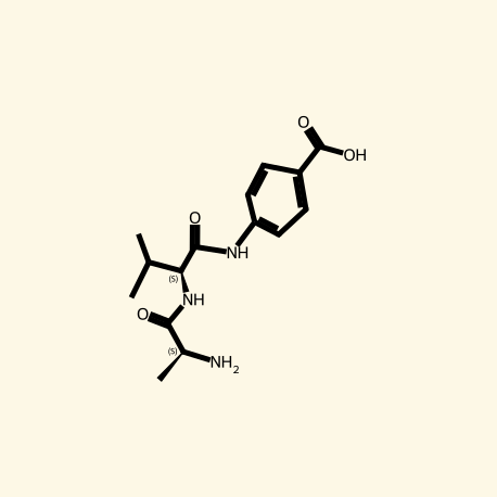 CC(C)[C@H](NC(=O)[C@H](C)N)C(=O)Nc1ccc(C(=O)O)cc1